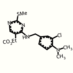 CCOC(=O)c1cnc(SC)nc1NCc1ccc(N(C)C)c(Cl)c1